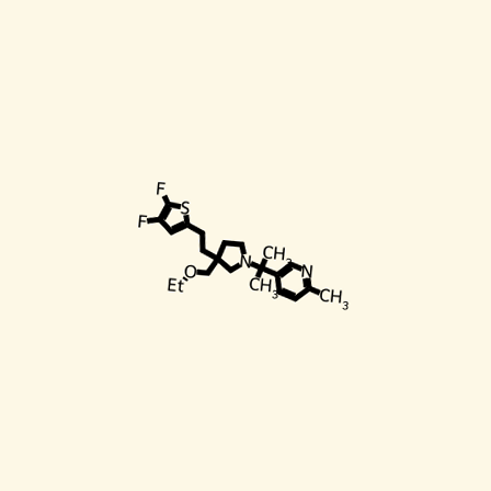 CCOCC1(CCc2cc(F)c(F)s2)CCN(C(C)(C)c2ccc(C)nc2)C1